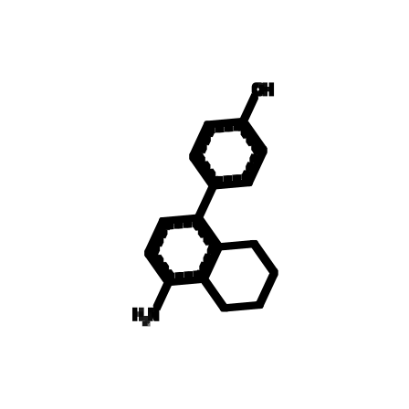 Nc1ccc(-c2ccc(O)cc2)c2c1CCCC2